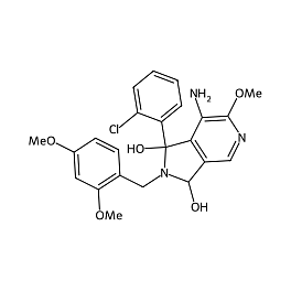 COc1ccc(CN2C(O)c3cnc(OC)c(N)c3C2(O)c2ccccc2Cl)c(OC)c1